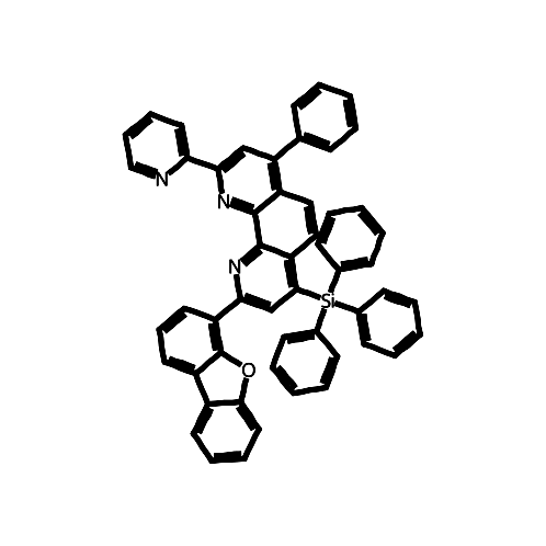 c1ccc(-c2cc(-c3ccccn3)nc3c2ccc2c([Si](c4ccccc4)(c4ccccc4)c4ccccc4)cc(-c4cccc5c4oc4ccccc45)nc23)cc1